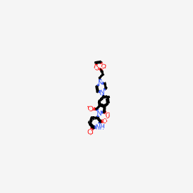 O=C1CCC(N2C(=O)c3ccc(N4CCN(CCC5OCCO5)CC4)cc3C2=O)C(=O)N1